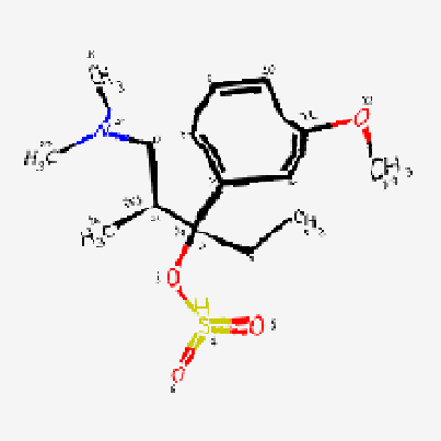 CC[C@](O[SH](=O)=O)(c1cccc(OC)c1)[C@@H](C)CN(C)C